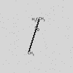 CCCCCCCCCCCCCCCCCCC(=O)OCCCCCC(C)C